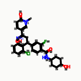 Cn1cc(/C(CC(c2ccc(C(=O)NC3CCC(O)CC3)c(F)c2)c2ccccc2Cl)=N/O)ccc1=O